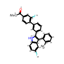 COC(=O)c1ccc(-c2cccc(-c3[nH]c4ccc(F)cc4c3-c3ccccc3C#N)c2)c(F)c1